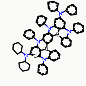 c1ccc(N(c2ccccc2)c2cc3c4c(c2)N(c2ccccc2)c2cc5c(cc2B4c2ccccc2N3c2ccccc2)B2c3ccccc3N(c3ccccc3)c3cc(N(C4CCCCC4)C4CCCCC4)cc(c32)N5c2ccccc2)cc1